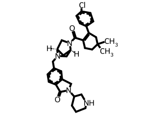 CC1(C)CCC(C(=O)N2C[C@H]3C[C@@H]2CN3Cc2ccc3c(c2)CN(C2CCCNC2)C3=O)=C(c2ccc(Cl)cc2)C1